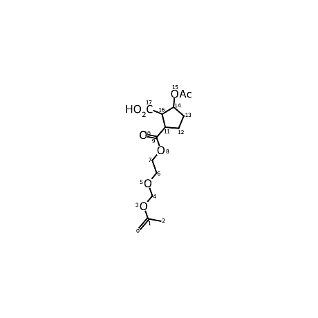 C=C(C)OCOCCOC(=O)C1CCC(OC(C)=O)C1C(=O)O